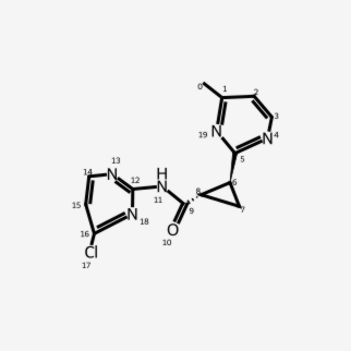 Cc1ccnc([C@H]2C[C@@H]2C(=O)Nc2nccc(Cl)n2)n1